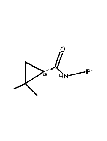 CC(C)NC(=O)[C@H]1CC1(C)C